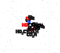 CCC1(CC)CN([C@H]2C[C@@]3(C)[C@@H](CC[C@@H]4[C@@H]3CC[C@]3(C)[C@@H](C(C)=O)CC[C@@H]43)C[C@@H]2O)CCO1.O=C(O)CC(O)(CC(=O)O)C(=O)O